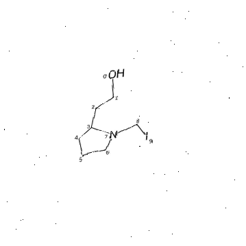 OCCC1CCCN1CI